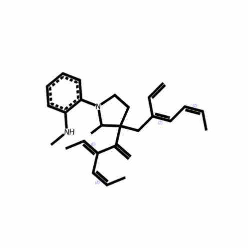 C=C/C(=C\C=C/C)CC1(C(=C)C(/C=C\C)=C/C)CCN(c2ccccc2NC)C1C